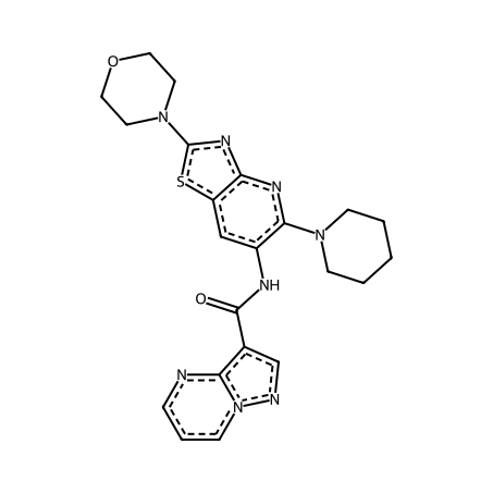 O=C(Nc1cc2sc(N3CCOCC3)nc2nc1N1CCCCC1)c1cnn2cccnc12